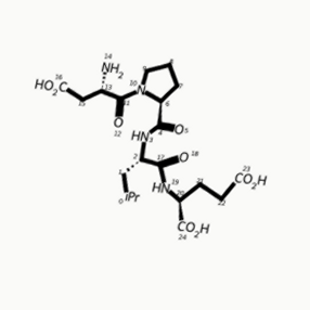 CC(C)C[C@H](NC(=O)[C@@H]1CCCN1C(=O)[C@@H](N)CC(=O)O)C(=O)N[C@@H](CCC(=O)O)C(=O)O